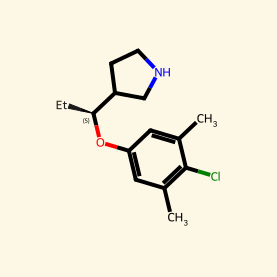 CC[C@H](Oc1cc(C)c(Cl)c(C)c1)C1CCNC1